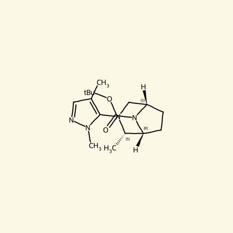 Cc1cnn(C)c1N1C[C@@H]2CC[C@H]([C@@H]1C)N2C(=O)OC(C)(C)C